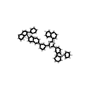 c1ccc(-c2ccc3ccccc3c2-c2ccc3cc(-c4cccc(-c5nc(-c6ccc7c(c6)c6ccccc6n7-c6ccccc6)nc(-c6cccc7ccccc67)n5)c4)ccc3c2)cc1